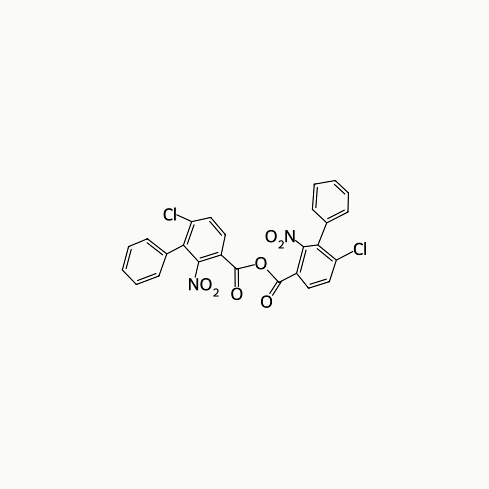 O=C(OC(=O)c1ccc(Cl)c(-c2ccccc2)c1[N+](=O)[O-])c1ccc(Cl)c(-c2ccccc2)c1[N+](=O)[O-]